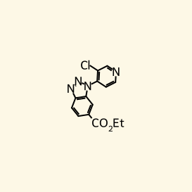 CCOC(=O)c1ccc2nnn(-c3ccncc3Cl)c2c1